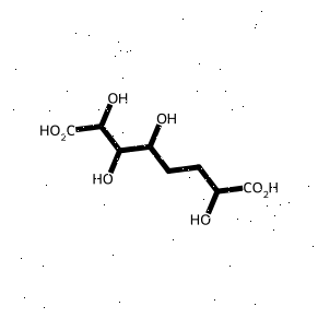 O=C(O)C(O)CCC(O)C(O)C(O)C(=O)O